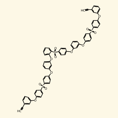 C#Cc1cccc(Oc2ccc(S(=O)(=O)c3ccc(Oc4cccc(Oc5ccc(S(=O)(=O)c6ccccc6Oc6cccc(Oc7ccc(S(=O)(=O)c8ccc(Oc9cccc(C#C)c9)cc8)cc7)c6)cc5)c4)cc3)cc2)c1